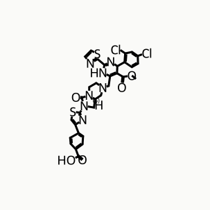 COC(=O)C1=C(CN2CCN3C(=O)N(c4nc(-c5ccc(C(=O)O)cc5)cs4)C[C@@H]3C2)NC(c2nccs2)=NC1c1ccc(Cl)cc1Cl